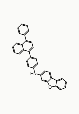 c1ccc(-c2ccc(-c3ccc(Nc4ccc5c(c4)oc4ccccc45)cc3)c3ccccc23)cc1